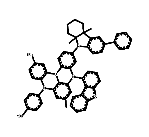 Cc1cc2c3c(c1)N(c1cccc4sc5ccccc5c14)c1cc(N4c5ccc(-c6ccccc6)cc5C5(C)CCCCC45C)ccc1B3c1cc(C(C)(C)C)ccc1N2c1ccc(C(C)(C)C)cc1